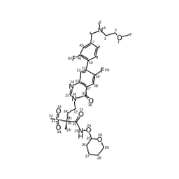 COCCN(C)Cc1ccc(-c2cc3ncn(CC[C@](C)(C(=O)NOC4CCCCO4)S(C)(=O)=O)c(=O)c3cc2F)c(F)c1